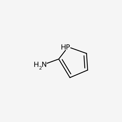 Nc1ccc[pH]1